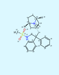 CN1[C@@H]2CC[C@H]1C[C@@H](CC(CNS(C)(=O)=O)(c1ccccc1)c1ccccc1)C2